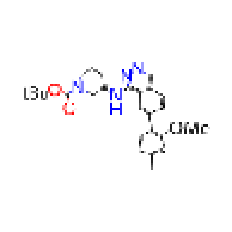 COc1cc(C)ccc1-c1ccc2cnnc(N[C@@H]3CCCN(C(=O)OC(C)(C)C)C3)c2c1